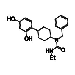 CCNC(=O)N(Cc1ccccc1)C1CCC(c2ccc(O)cc2O)CC1